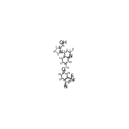 Cc1cc(N2CCC[C@H]2CO)c2ccc(COc3ccc(C#N)c(C(F)(F)F)c3)cc2n1